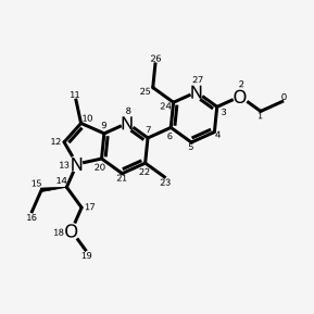 CCOc1ccc(-c2nc3c(C)cn([C@H](CC)COC)c3cc2C)c(CC)n1